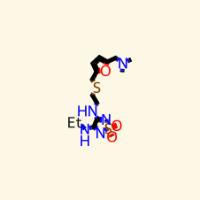 CCNC1=NS(=O)(=O)N=C1NCCSCc1ccc(CN(C)C)o1